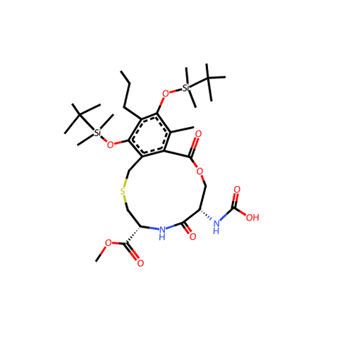 CCCc1c(O[Si](C)(C)C(C)(C)C)c(C)c2c(c1O[Si](C)(C)C(C)(C)C)CSC[C@@H](C(=O)OC)NC(=O)[C@@H](NC(=O)O)COC2=O